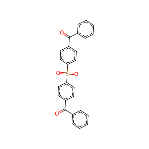 O=C(c1ccccc1)c1ccc(S(=O)(=O)c2ccc(C(=O)c3ccccc3)cc2)cc1